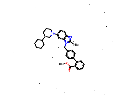 CCCCc1nc2ccc(N3CCCC(C4CCCCC4)C3)cc2n1Cc1ccc(-c2ccccc2C(=O)OC(C)(C)C)cc1